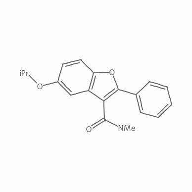 CNC(=O)c1c(-c2ccccc2)oc2ccc(OC(C)C)cc12